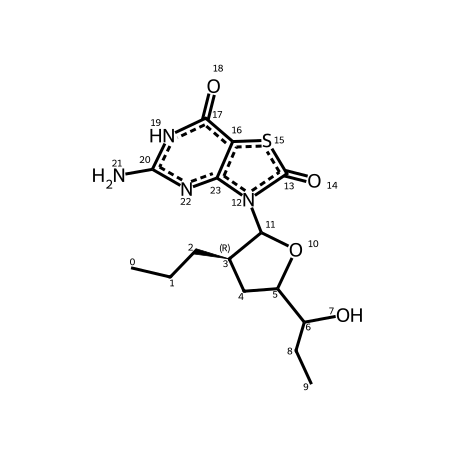 CCC[C@@H]1CC(C(O)CC)OC1n1c(=O)sc2c(=O)[nH]c(N)nc21